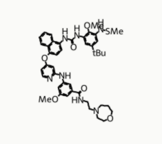 COc1cc(Nc2cc(Oc3ccc(NC(=O)Nc4cc(C(C)(C)C)cc(NSC)c4OC)c4ccccc34)ccn2)cc(C(=O)NCCN2CCCOCC2)c1